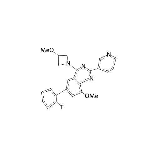 COc1cc(-c2ccccc2F)cc2c(N3CC(OC)C3)nc(-c3cccnc3)nc12